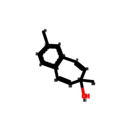 Cc1ccc2c(c1)C=CC(C)(O)C=C2